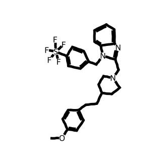 COc1ccc(CCC2CCN(Cc3nc4ccccc4n3Cc3ccc(S(F)(F)(F)(F)F)cc3)CC2)cc1